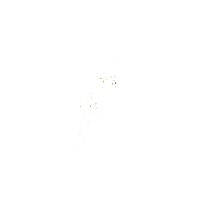 O=C(NS(=O)(=O)c1ccc(N/N=C2\CCCc3ccccc32)c([N+](=O)[O-])c1)C1(F)C=CC(c2ccccc2)C=C1